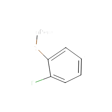 CCCCCSc1ccccc1F